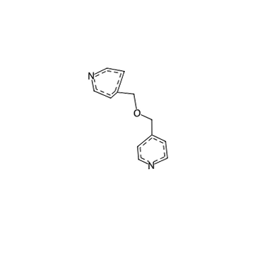 c1cc(COCc2ccncc2)ccn1